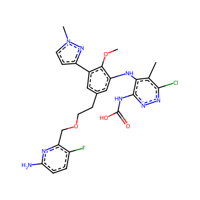 COc1c(Nc2c(NC(=O)O)nnc(Cl)c2C)cc(CCOCc2nc(N)ccc2F)cc1-c1ccn(C)n1